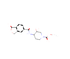 CC(C)(C)OC(=O)N1CCC(NC(=O)c2ccc3c(c2)COC3=O)C(O)C1